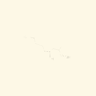 CCCCCC(C)CC(C)O[SiH3]